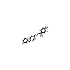 O=C(CCCN1CCC(Cc2ccccc2)CC1)c1ccc(Br)cc1